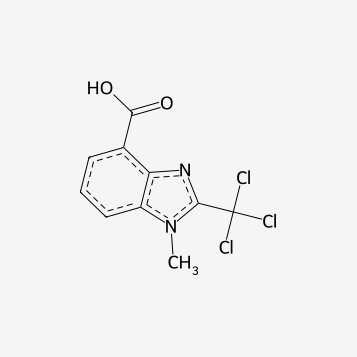 Cn1c(C(Cl)(Cl)Cl)nc2c(C(=O)O)cccc21